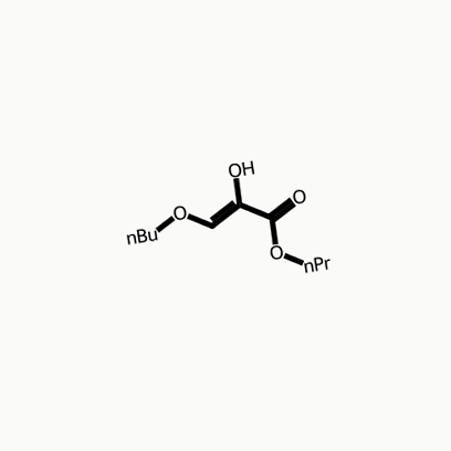 CCCCOC=C(O)C(=O)OCCC